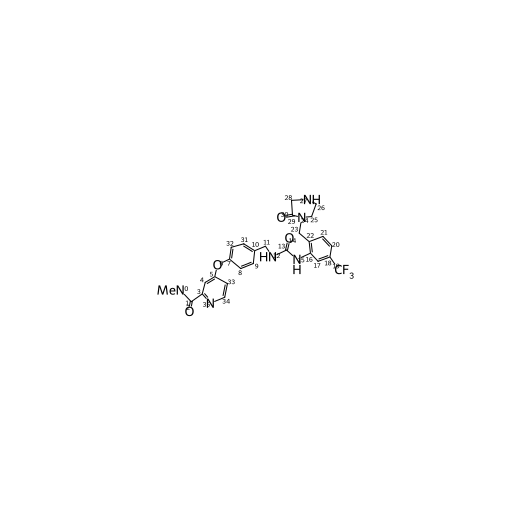 CNC(=O)c1cc(Oc2ccc(CNC(=O)Nc3cc(C(F)(F)F)ccc3CN3CCNCC3=O)cc2)ccn1